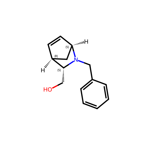 OC[C@@H]1[C@H]2C=C[C@H](C2)N1Cc1ccccc1